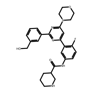 O=C(Nc1ccc(F)c(-c2cc(N3CCOCC3)nc(-c3cccc(CO)c3)n2)c1)C1CCCNC1